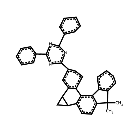 CC1(C)c2ccccc2-c2c1ccc1c2-c2ccc(-c3nc(-c4ccccc4)nc(-c4ccccc4)n3)cc2C2CC12